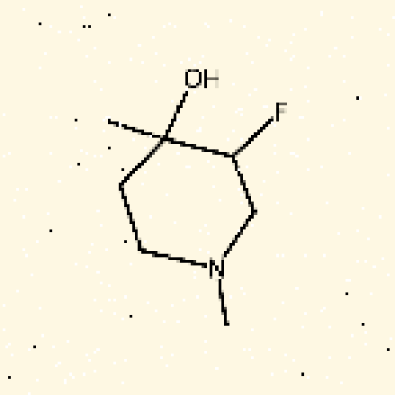 CN1CCC(C)(O)C(F)C1